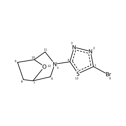 Brc1nnc(N2CC3CCC(C2)O3)s1